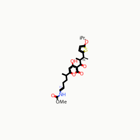 COC(=O)N/C=C/CCC(C)c1cc(O)c(C(=O)C(C)[C@H](C)c2ccc(OC(C)C)s2)c(=O)o1